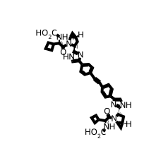 O=C(O)N[C@@H](C(=O)N1C2C[C@@H]2C[C@H]1c1nc(-c2ccc(C#Cc3ccc(-c4c[nH]c([C@@H]5C[C@H]6CC6N5C(=O)[C@H](NC(=O)O)C5CCC5)n4)cc3)cc2)c[nH]1)C1CCC1